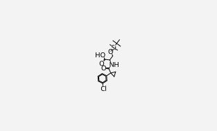 CC(C)(C)[Si](C)(C)OCC(NC(=O)C1(c2cccc(Cl)c2)CC1)C(=O)O